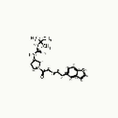 CC(C)(C)OC(=O)NC1CCN(C(=O)COCCc2ccc3sccc3c2)C1